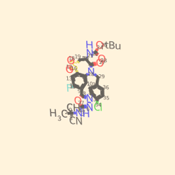 CC(C)(C#N)Nc1nnc(-c2cc3c(cc2F)S(=O)(=O)C[C@H](NC(=O)OC(C)(C)C)C(=O)N3Cc2ccc(Cl)cc2)o1